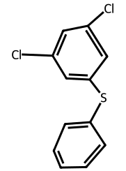 Clc1cc(Cl)cc(Sc2ccccc2)c1